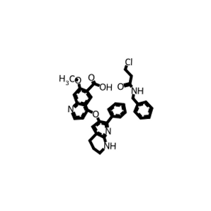 COc1cc2nccc(Oc3cc4c(nc3-c3ccccc3)NCCC4)c2cc1C(=O)O.O=C(CCCl)NCc1ccccc1